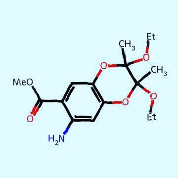 CCOC1(C)Oc2cc(N)c(C(=O)OC)cc2OC1(C)OCC